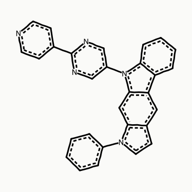 c1ccc(-n2ccc3cc4c5ccccc5n(-c5cnc(-c6ccncc6)nc5)c4cc32)cc1